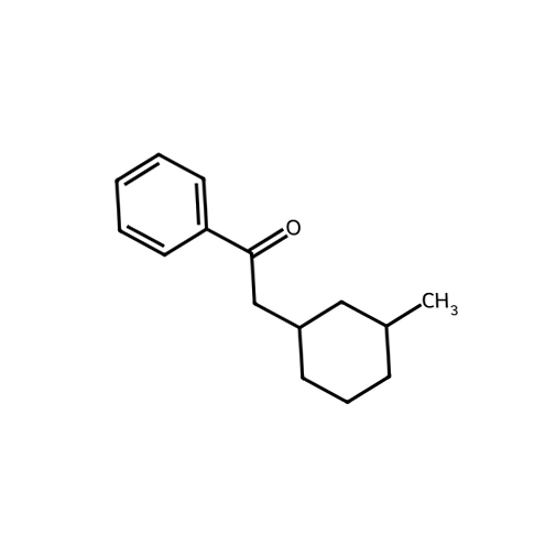 CC1CCCC(CC(=O)c2ccccc2)C1